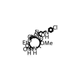 CC[C@H]1OC(=O)C(C)C(=O)[C@H](C)[C@@H](O[C@@H]2OC(CNc3ccc(Cl)cc3)CC(N(C)C)C2O)[C@](C)(OC)C[C@@H](C)CN[C@H](C)[C@H]2NC(=O)O[C@@]21C